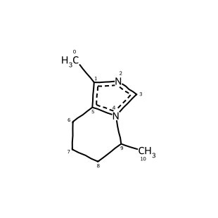 Cc1ncn2c1CCCC2C